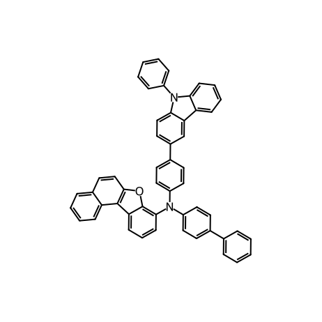 c1ccc(-c2ccc(N(c3ccc(-c4ccc5c(c4)c4ccccc4n5-c4ccccc4)cc3)c3cccc4c3oc3ccc5ccccc5c34)cc2)cc1